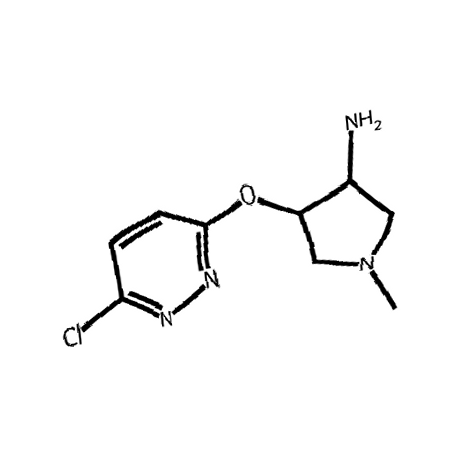 CN1CC(N)C(Oc2ccc(Cl)nn2)C1